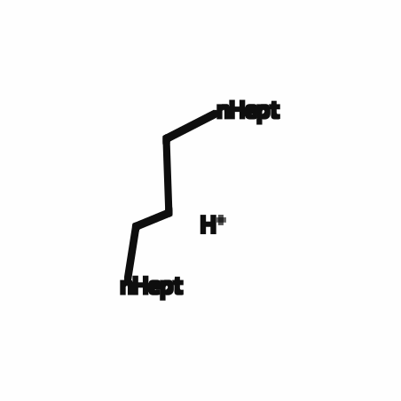 C[CH]CCCCCCCCCCCCCCC.[H+]